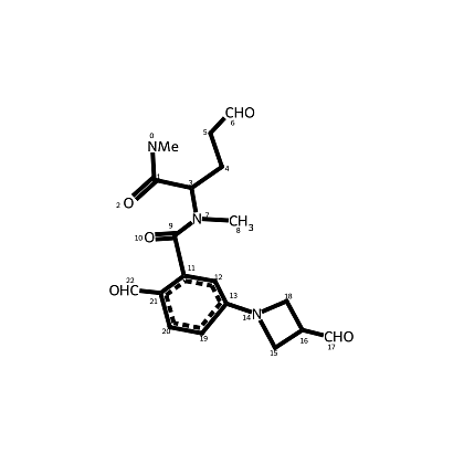 CNC(=O)C(CCC=O)N(C)C(=O)c1cc(N2CC(C=O)C2)ccc1C=O